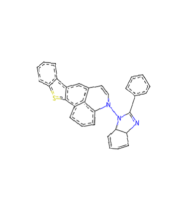 C1=CC2N=C(c3ccccc3)N(N3C=Cc4cc5c6ccccc6sc5c5cccc3c45)C2C=C1